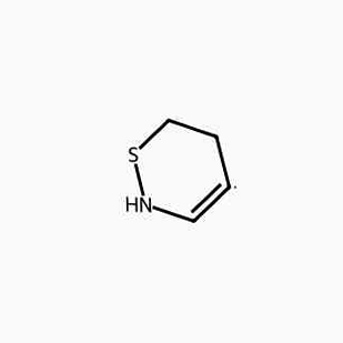 [C]1=CNSCC1